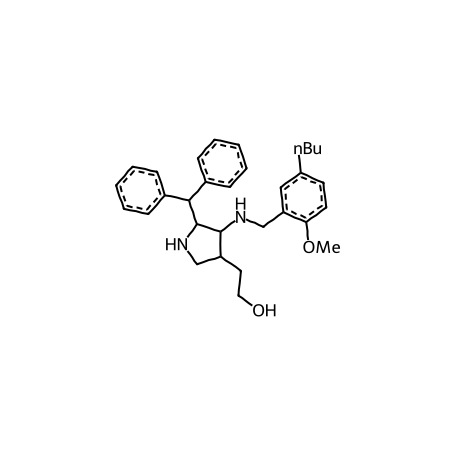 CCCCc1ccc(OC)c(CNC2C(CCO)CNC2C(c2ccccc2)c2ccccc2)c1